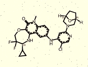 Cn1c(=O)c2c(c3cc(Nc4cc(N5C[C@H]6CC[C@@H](C5)O6)ncc4Cl)ccc31)N[C@@H](C1CC1)C(F)(F)CO2